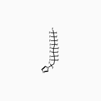 FC(F)(CC(F)(F)C(F)(F)C(F)(F)C(F)(F)C(F)(F)C(F)(F)C(F)(F)C(F)(F)I)n1ccnc1